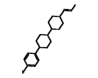 C/C=C/C1CCC(C2CCC(c3ccc(F)cc3)CC2)CC1